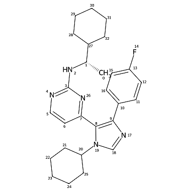 C[C@H](Nc1nccc(-c2c(-c3ccc(F)cc3)ncn2C2CCCCC2)n1)C1CCCCC1